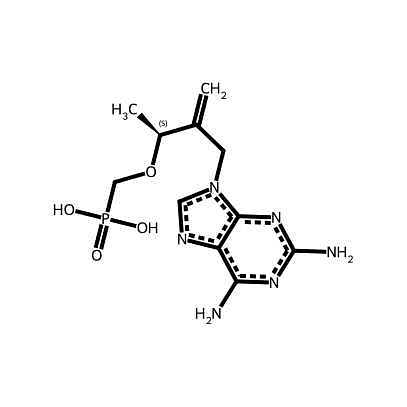 C=C(Cn1cnc2c(N)nc(N)nc21)[C@H](C)OCP(=O)(O)O